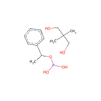 CC(C)(CO)CO.CC(OP(O)O)c1ccccc1